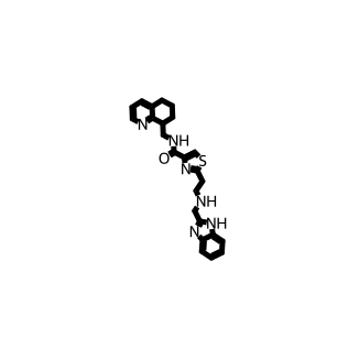 O=C(NCC1CCCc2cccnc21)c1csc(CCNCc2nc3ccccc3[nH]2)n1